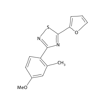 COc1ccc(-c2nsc(-c3ccco3)n2)c(C)c1